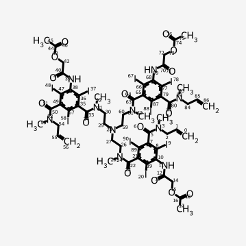 C=CCN(C)C(=O)c1c(I)c(NC(=O)COC(C)=O)c(I)c(C(=O)N(C)CCN(CCN(C)C(=O)c2c(I)c(NC(=O)COC(C)=O)c(I)c(C(=O)N(C)CC=C)c2I)CCN(C)C(=O)c2c(I)c(NC(=O)COC(C)=O)c(I)c(C(=O)N(C)CC=C)c2I)c1I